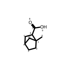 CC12CCC(CC1C(=O)O)C2